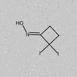 ON=C1C[CH]C1(I)I